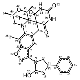 C[C@@H]1CN2c3c(cc4c(N5C[C@H](c6ccccc6)SC5O)noc4c3F)CC3(C(=O)NC(=O)NC3=O)[C@H]2[C@H](C)O1